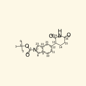 CC(C)(C)OC(=O)n1cc2ccc(C3CCC(=O)NC3=O)cc2c1